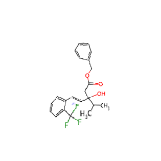 CC(C)C(O)(/C=C/c1ccccc1C(F)(F)F)CC(=O)OCc1ccccc1